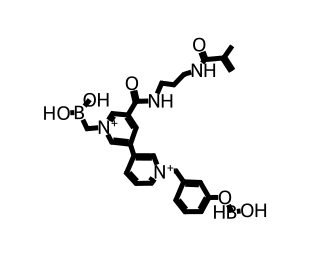 C=C(C)C(=O)NCCCNC(=O)c1cc(-c2ccc[n+](Cc3cccc(OBO)c3)c2)c[n+](CB(O)O)c1